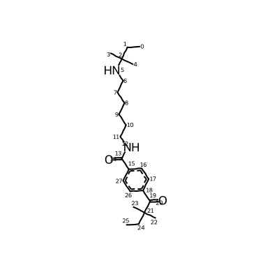 CCC(C)(C)NCCCCCCNC(=O)c1ccc(C(=O)C(C)(C)CC)cc1